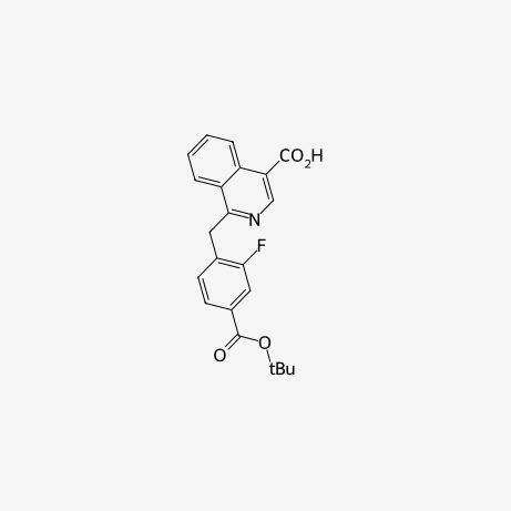 CC(C)(C)OC(=O)c1ccc(Cc2ncc(C(=O)O)c3ccccc23)c(F)c1